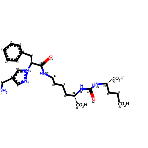 NCc1cnn([C@@H](Cc2ccccc2)C(=O)NCCCC[C@H](NC(=O)N[C@@H](CCC(=O)O)C(=O)O)C(=O)O)c1